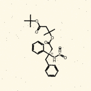 CC(C)(C)OC(=O)CC(C)(C)OC(=O)C[C@](Cc1ccccc1)(N[SH](=O)=O)c1ccccc1